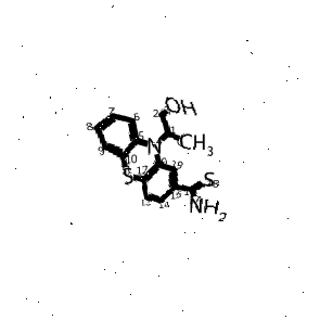 CC(CO)N1c2ccccc2Sc2ccc(C(N)=S)cc21